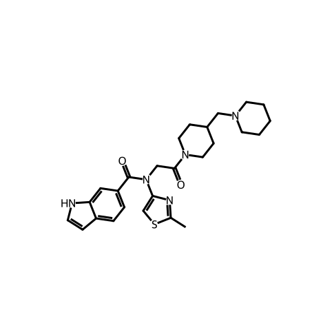 Cc1nc(N(CC(=O)N2CCC(CN3CCCCC3)CC2)C(=O)c2ccc3cc[nH]c3c2)cs1